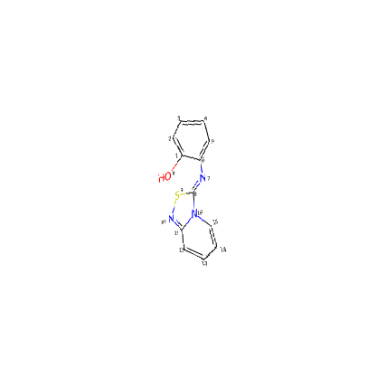 Oc1ccccc1/N=c1\snc2ccccn12